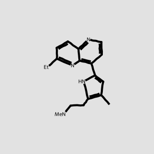 CCc1ccc2nccc(-c3cc(C)c(CCNC)[nH]3)c2n1